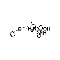 CC(CCCCCOCCc1ccccc1)CC(N)c1ccc(O)c2[nH]c(=O)sc12